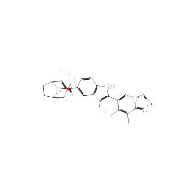 Cc1c(-c2[nH]c3ccc(C4=CC5CCC(C4)N5C(=O)OC(C)(C)C)cc3c2C(C)C)cn2cnnc2c1C